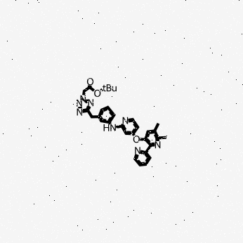 Cc1cc(Oc2ccnc(Nc3cccc(Cc4nnn(CC(=O)OC(C)(C)C)n4)c3)c2)c(-c2ccccn2)nc1C